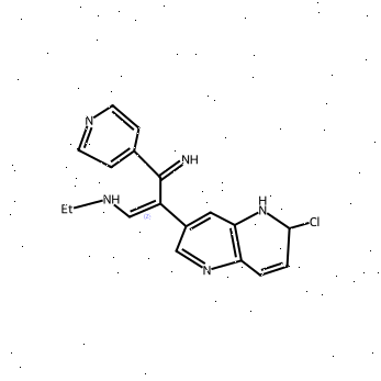 CCN/C=C(\C(=N)c1ccncc1)c1cnc2c(c1)NC(Cl)C=C2